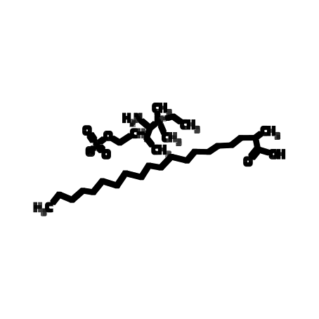 CCC(N)[N+](C)(C)CC.CCCCCCCCCCCCCCCCCCC(C)C(=O)O.CCOS(=O)(=O)[O-]